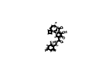 C[C@H]1C=CC2(CCC2)N2CN1C(=O)c1c(O)c(=O)c(C(=O)NCc3c(F)cc(F)cc3F)cn12